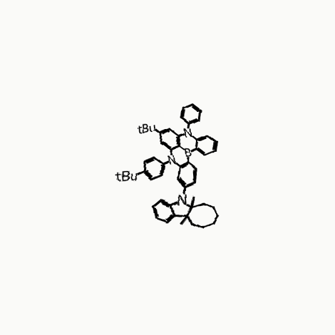 CC(C)(C)c1ccc(N2c3cc(N4c5ccccc5C5(C)CCCCCCC45C)ccc3B3c4ccccc4N(c4ccccc4)c4cc(C(C)(C)C)cc2c43)cc1